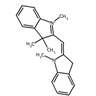 CN1C(=CC2=[N+](C)c3ccccc3C2(C)C)Cc2ccccc21